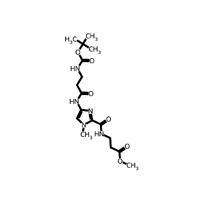 COC(=O)CCNC(=O)c1nc(NC(=O)CCNC(=O)OC(C)(C)C)cn1C